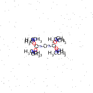 C[N+](C)(C)COc1cc(/C=C/c2ccc(/C=C/c3cc(OC[N+](C)(C)C)cc(OC[N+](C)(C)C)c3)cc2)cc(OC[N+](C)(C)C)c1